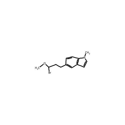 COC(Br)CCc1ccc2c(ccn2C)c1